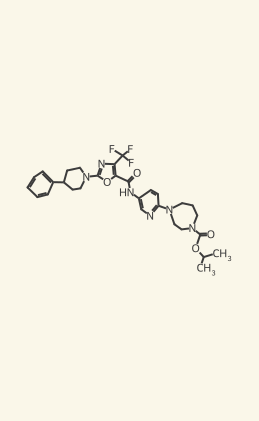 CC(C)OC(=O)N1CCCN(c2ccc(NC(=O)c3oc(N4CCC(c5ccccc5)CC4)nc3C(F)(F)F)cn2)CC1